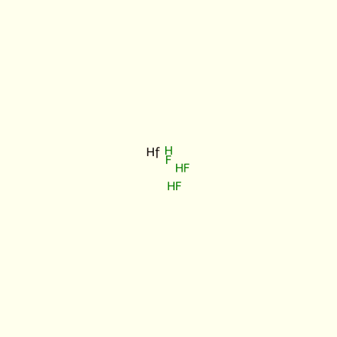 F.F.F.[Hf]